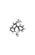 [I-].[I-].[Ti+2][C]1=Cc2ccccc2C1c1ccccc1